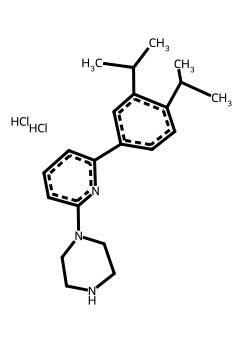 CC(C)c1ccc(-c2cccc(N3CCNCC3)n2)cc1C(C)C.Cl.Cl